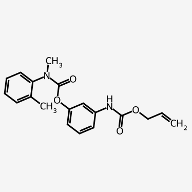 C=CCOC(=O)Nc1cccc(OC(=O)N(C)c2ccccc2C)c1